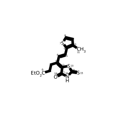 CCOC(=O)CCC(C=Cc1sccc1C)=C1SC(=S)NC1=O